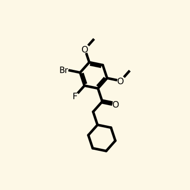 COc1cc(OC)c(C(=O)CC2CCCCC2)c(F)c1Br